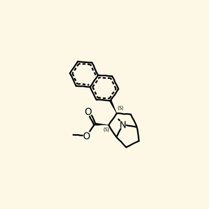 COC(=O)[C@@H]1C2CCC(C[C@@H]1c1ccc3ccccc3c1)N2C